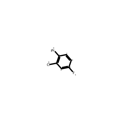 CC(C)c1c[c]c(F)cc1Cl